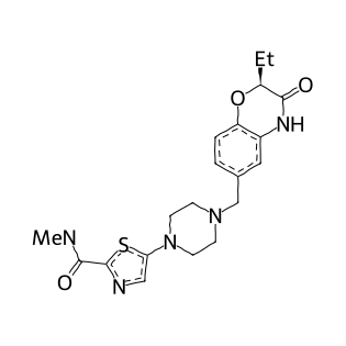 CC[C@@H]1Oc2ccc(CN3CCN(c4cnc(C(=O)NC)s4)CC3)cc2NC1=O